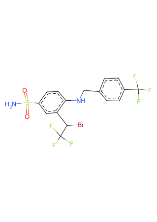 NS(=O)(=O)c1ccc(NCc2ccc(C(F)(F)F)cc2)c(C(Br)C(F)(F)F)c1